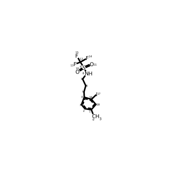 Cc1ccc(CCCNS(=O)(=O)C(F)(F)F)c(I)c1